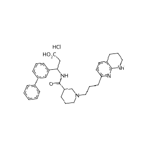 Cl.O=C(O)CC(NC(=O)C1CCCN(CCCc2ccc3c(n2)NCCC3)C1)c1cccc(-c2ccccc2)c1